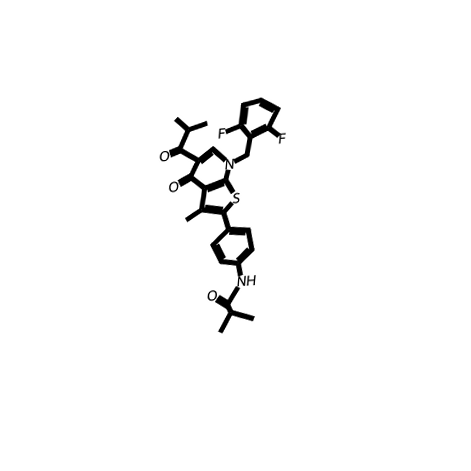 Cc1c(-c2ccc(NC(=O)C(C)C)cc2)sc2c1c(=O)c(C(=O)C(C)C)cn2Cc1c(F)cccc1F